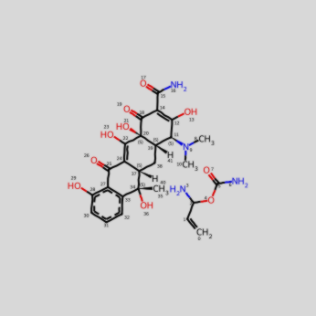 C=CC(N)OC(N)=O.CN(C)[C@@H]1C(O)=C(C(N)=O)C(=O)[C@@]2(O)C(O)=C3C(=O)c4c(O)cccc4[C@@](C)(O)[C@H]3C[C@@H]12